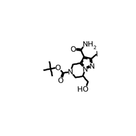 CC(C)(C)OC(=O)N1Cc2c(C(N)=O)c(I)nn2C(CO)C1